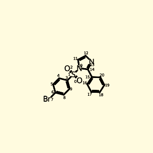 O=S(=O)(c1ccc(Br)cc1)n1ccnc1-c1ccccc1